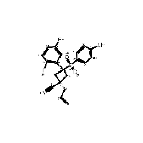 C=CC[C@]1(C#N)C[C@](c2cc(F)ccc2F)(S(=O)(=O)c2ccc(Cl)cc2)C1